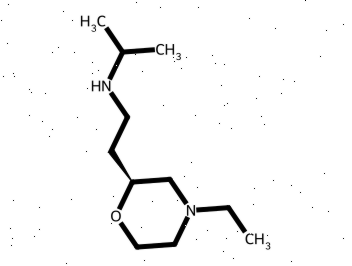 CCN1CCO[C@@H](CCNC(C)C)C1